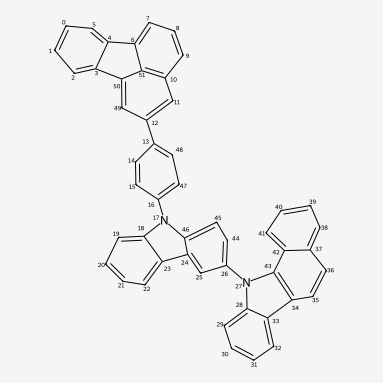 c1ccc2c(c1)-c1cccc3cc(-c4ccc(-n5c6ccccc6c6cc(-n7c8ccccc8c8ccc9ccccc9c87)ccc65)cc4)cc-2c13